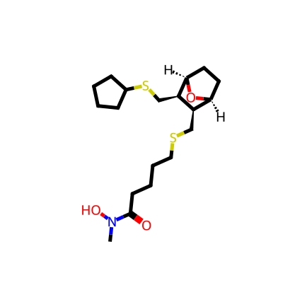 CN(O)C(=O)CCCCSC[C@H]1[C@@H](CSC2CCCC2)[C@H]2CC[C@@H]1O2